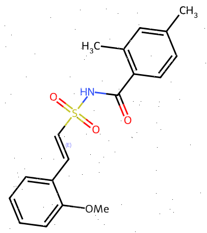 COc1ccccc1/C=C/S(=O)(=O)NC(=O)c1ccc(C)cc1C